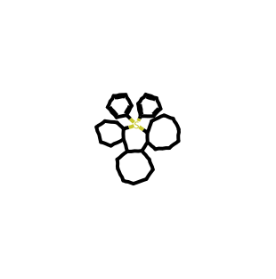 c1ccc(S2(c3ccccc3)C3CCCCCCCC3C3CCCCCCCC3C3CCCCCC32)cc1